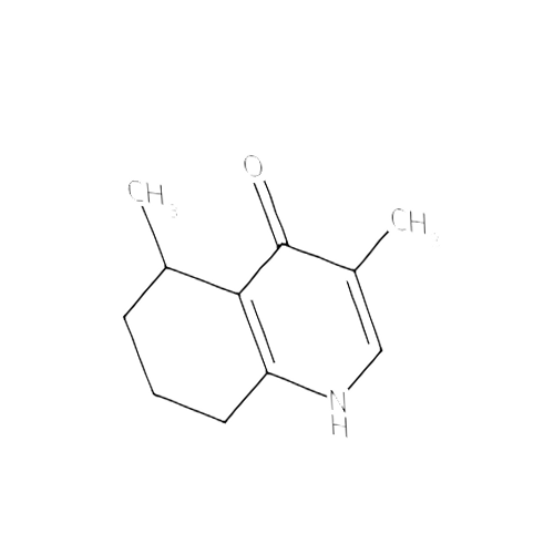 Cc1c[nH]c2c(c1=O)C(C)CCC2